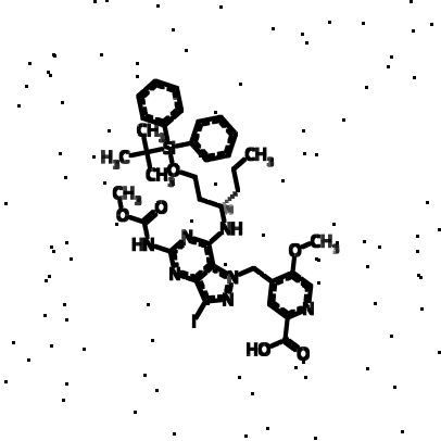 CCC[C@@H](CCO[Si](c1ccccc1)(c1ccccc1)C(C)(C)C)Nc1nc(NC(=O)OC)nc2c(I)nn(Cc3cc(C(=O)O)ncc3OC)c12